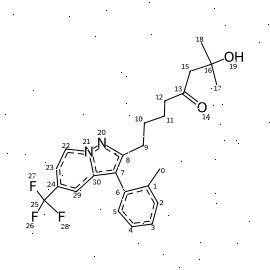 Cc1ccccc1-c1c(CCCCC(=O)CC(C)(C)O)nn2ccc(C(F)(F)F)cc12